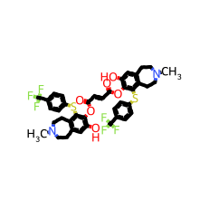 CN1CCc2cc(O)c(OC(=O)/C=C/C(=O)Oc3c(O)cc4c(c3Sc3ccc(C(F)(F)F)cc3)CCN(C)CC4)c(Sc3ccc(C(F)(F)F)cc3)c2CC1